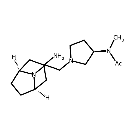 CC(=O)N(C)[C@@H]1CCN(CCN2[C@@H]3CC[C@H]2CC(N)C3)C1